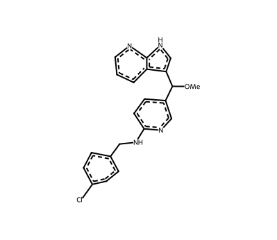 COC(c1ccc(NCc2ccc(Cl)cc2)nc1)c1c[nH]c2ncccc12